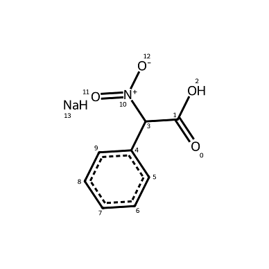 O=C(O)C(c1ccccc1)[N+](=O)[O-].[NaH]